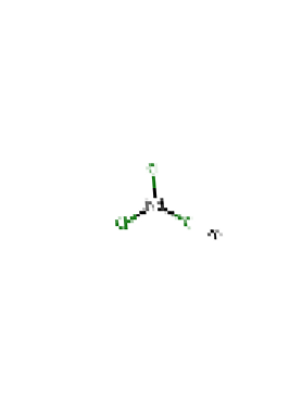 [Cl][Nd]([Cl])[Cl].[Pr]